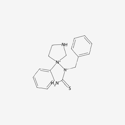 NC(=S)N(Cc1ccccc1)[N+]1(c2ccccc2)CCNC1